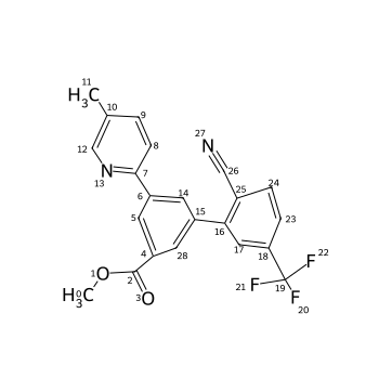 COC(=O)c1cc(-c2ccc(C)cn2)cc(-c2cc(C(F)(F)F)ccc2C#N)c1